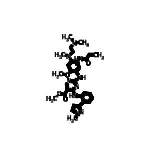 C=CC(=O)Nc1cc(Nc2ncc(C(=O)OC)c(Nc3ccccc3-c3ccn(C)n3)n2)c(OC)cc1N(C)CCN(C)C